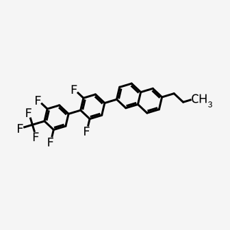 CCCc1ccc2cc(-c3cc(F)c(-c4cc(F)c(C(F)(F)F)c(F)c4)c(F)c3)ccc2c1